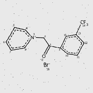 O=C(C[n+]1ccccc1)c1cccc(C(F)(F)F)c1.[Br-]